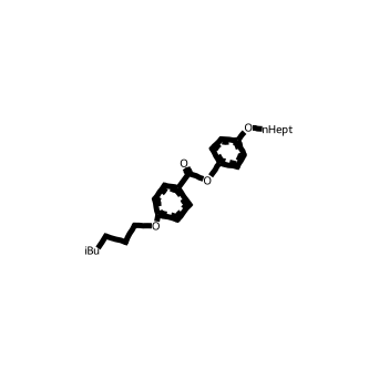 CCCCCCCOc1ccc(OC(=O)c2ccc(OCCCC(C)CC)cc2)cc1